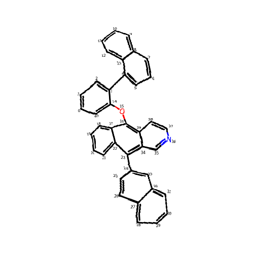 c1ccc(-c2cccc3ccccc23)c(Oc2c3ccccc3c(-c3ccc4ccccc4c3)c3cnccc23)c1